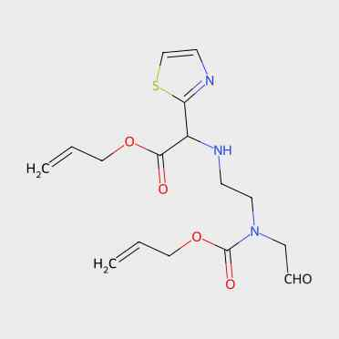 C=CCOC(=O)C(NCCN(CC=O)C(=O)OCC=C)c1nccs1